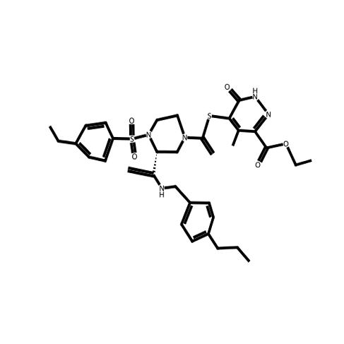 C=C(NCc1ccc(CCC)cc1)[C@H]1CN(C(=C)Sc2c(C)c(C(=O)OCC)n[nH]c2=O)CCN1S(=O)(=O)c1ccc(CC)cc1